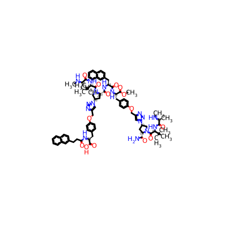 CN[C@@H](C)C(=O)N[C@H](C(=O)N1C[C@@H](n2cc(COc3ccc(C[C@H](NC(=O)[C@H](Cc4ccc5ccccc5c4)NC(=O)[C@@H]4C[C@H](n5cc(COc6ccc(C[C@H](NC(=O)CCc7ccc8ccccc8c7)C(=O)O)cc6)nn5)CN4C(=O)[C@@H](NC(=O)[C@H](C)NC)C(C)(C)C)C(=O)OC)cc3)nn2)C[C@H]1C(N)=O)C(C)(C)C